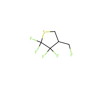 FCC1CSC(F)(F)C1(F)F